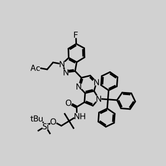 CC(=O)CCn1nc(-c2cnc3c(n2)c(C(=O)NC(C)(C)CO[Si](C)(C)C(C)(C)C)cn3C(c2ccccc2)(c2ccccc2)c2ccccc2)c2ccc(F)cc21